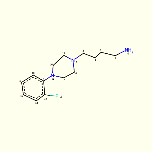 NCCCCN1CCN(c2ccccc2F)CC1